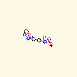 CC(C)(C)OC(=O)N1CCC[C@H]1c1ncc(-c2ccc(-c3ccc(-c4cnc([C@@H]5CCC6CCCCC(=O)N65)[nH]4)cc3)cc2)[nH]1